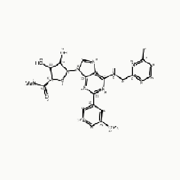 CNC(=O)[C@@H]1OC(n2cnc3c(NCc4cccc(C)n4)nc(-c4cncc(OC)c4)nc32)C(O)C1O